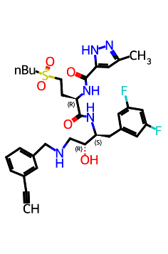 C#Cc1cccc(CNC[C@@H](O)[C@H](Cc2cc(F)cc(F)c2)NC(=O)[C@@H](CCS(=O)(=O)CCCC)NC(=O)c2cc(C)n[nH]2)c1